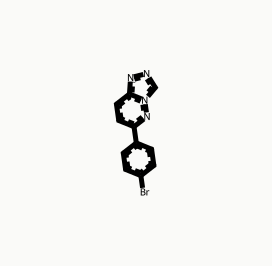 Brc1ccc(-c2ccc3nncn3n2)cc1